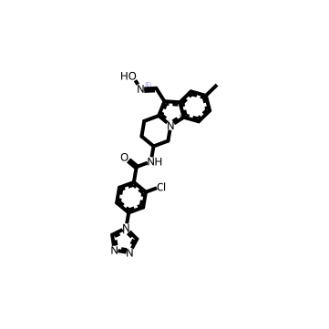 Cc1ccc2c(c1)c(/C=N/O)c1n2CC(NC(=O)c2ccc(-n3cnnc3)cc2Cl)CC1